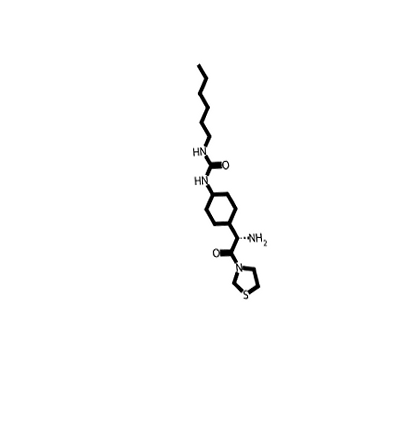 CCCCCCNC(=O)NC1CCC([C@H](N)C(=O)N2CCSC2)CC1